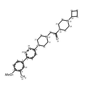 COc1ccc(-c2ccc(N3CCN(CC(=O)N4CCN(C5CCC5)CC4)CC3)nn2)cc1C